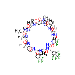 CC[C@H](C)[C@@H]1NC(=O)[C@H](CC2CC2)N(C)C(=O)C[C@@H](C(=O)N(C)CC)N(C)C(=O)[C@H](C2CCCC2)N(C)C(=O)C2(CCC2)NC(=O)[C@@H]2CC(F)(F)CN2C(=O)[C@H](CCc2cc(F)c(C(F)(F)F)c(F)c2)NC(=O)CN(C)C(=O)[C@H](Cc2ccc(C(F)(F)F)cc2)N2CC/C=C\C[C@@H](C2=O)N(C)C(=O)CN(C)C1=O